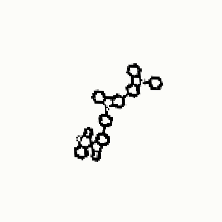 c1ccc(-n2c3ccccc3c3cc(-c4ccc5c(c4)c4ccccc4n5-c4ccc(-c5ccc6c(c5)C5(c7ccccc7Oc7ccccc75)c5ccccc5-6)cc4)ccc32)cc1